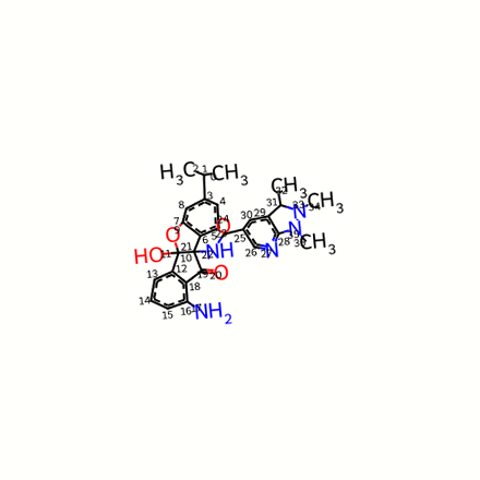 CC(C)c1ccc2c(c1)OC1(O)c3cccc(N)c3C(=O)C21NC(=O)c1cnc2c(c1)C(C)N(C)N2C